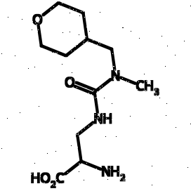 CN(CC1CCOCC1)C(=O)NCC(N)C(=O)O